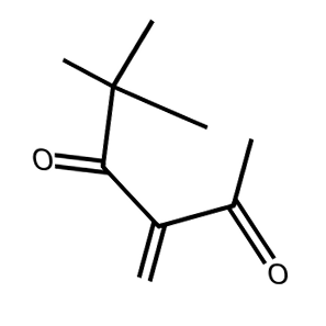 C=C(C(C)=O)C(=O)C(C)(C)C